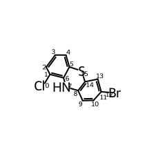 Clc1cccc2c1Nc1ccc(Br)cc1S2